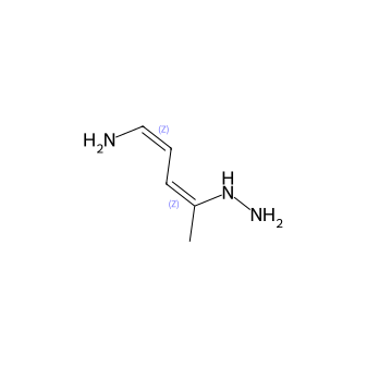 C/C(=C/C=C\N)NN